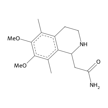 COc1c(C)c2c(c(C)c1OC)C(CC(N)=O)NCC2